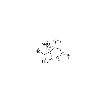 CO[C@]1(C)C[C@H](C(C)(C)C)O[C@@H](C)[C@@]1(O)CC#N